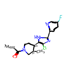 CNC(=O)N1CC[C@@H](c2[nH]c(-c3ccc(F)cn3)nc2Cl)[C@@H](C)C1